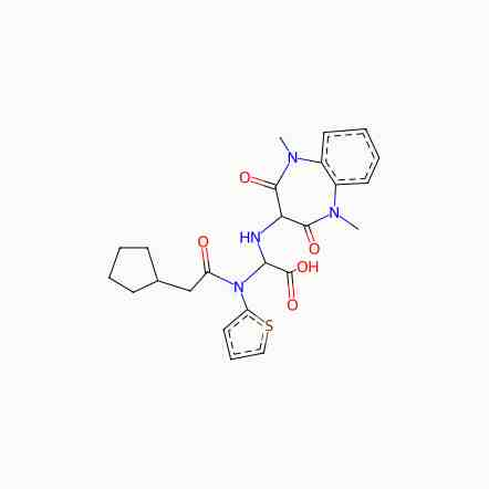 CN1C(=O)C(NC(C(=O)O)N(C(=O)CC2CCCC2)c2cccs2)C(=O)N(C)c2ccccc21